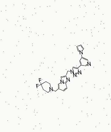 FC1(F)CCN(Cc2ccc3nc(Cn4cc(-c5cncc(-n6cccc6)c5)nn4)cn3c2)CC1